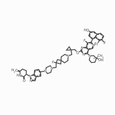 C=C1CCC(n2ncc3cc(N4CCN(CC5(F)CC6(CCN(CC7(COc8nc(N9CCC[C@@](C)(O)C9)c9cnc(-c%10cc(O)cc%11ccc(F)c(CC)c%10%11)c(F)c9n8)CC7)CC6)C5)CC4)ccc32)C(=O)N1